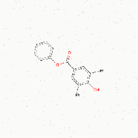 CC(C)c1cc(C(=O)Oc2ccccc2)cc(C(C)C)c1O